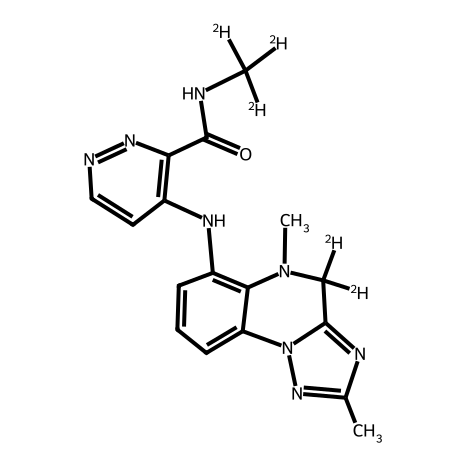 [2H]C([2H])([2H])NC(=O)c1nnccc1Nc1cccc2c1N(C)C([2H])([2H])c1nc(C)nn1-2